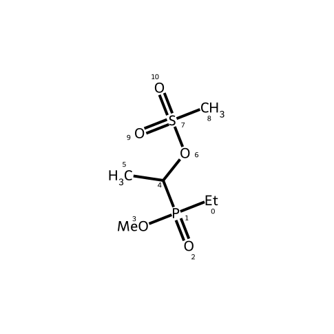 CCP(=O)(OC)C(C)OS(C)(=O)=O